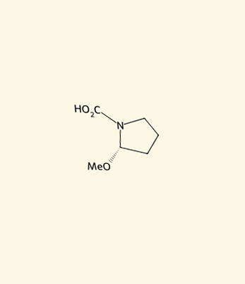 CO[C@H]1CCCN1C(=O)O